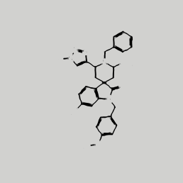 COc1ccc(CN2C(=O)C3(CC(C)N(Cc4ccccc4)C(c4cn(C)nn4)C3)c3ccc(C)cc32)cc1